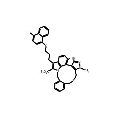 CCOC(=O)c1c(CCCOc2ccc(F)c3ccccc23)c2ccc(F)c3c2n1Cc1ccccc1COCc1c-3c(CC)nn1C